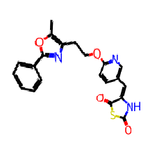 Cc1oc(-c2ccccc2)nc1CCOc1ccc(C=C2NC(=O)SC2=O)cn1